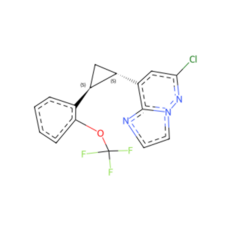 FC(F)(F)Oc1ccccc1[C@H]1C[C@@H]1c1cc(Cl)nn2ccnc12